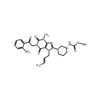 C/C=C/Cn1c(N2CCC[C@@H](NC(=O)OC(C)(C)C)C2)nc2c1c(=O)n(CC(=O)c1ccccc1[N+](=O)[O-])c(=O)n2C